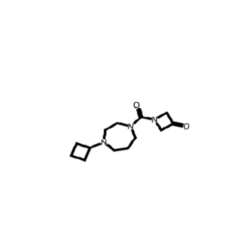 O=C1CN(C(=O)N2CCCN(C3CCC3)CC2)C1